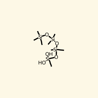 C[Si](C)(C)O[Si](C)(C)O[Si](C)(C)O[Si](C)(O)O